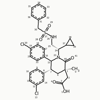 C[C@]1(CC(=O)O)C[C@H](c2cccc(Cl)c2)C(c2ccc(Cl)cc2)N([C@H](CNS(=O)(=O)Cc2ccccc2)C2CC2)C1=O